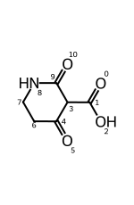 O=C(O)C1C(=O)CCNC1=O